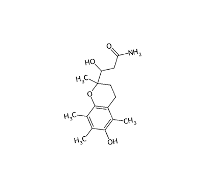 Cc1c(C)c2c(c(C)c1O)CCC(C)(C(O)CC(N)=O)O2